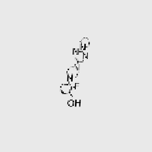 OCc1cccc(N2CCN(c3cnc(N4CCCC4)nc3)CC2)c1F